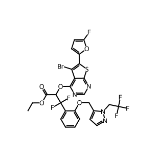 CCOC(=O)C(Oc1ncnc2sc(-c3ccc(F)o3)c(Br)c12)C(F)(F)c1ccccc1OCc1ccnn1CC(F)(F)F